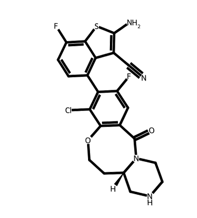 N#Cc1c(N)sc2c(F)ccc(-c3c(F)cc4c(c3Cl)OCC[C@H]3CNCCN3C4=O)c12